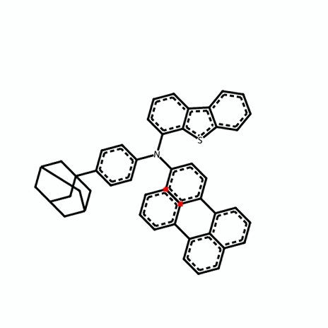 c1ccc(-c2cccc3cccc(-c4ccc(N(c5ccc(C67CC8CC(CC(C8)C6)C7)cc5)c5cccc6c5sc5ccccc56)cc4)c23)cc1